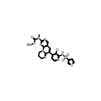 CN(C(=O)OC(C)(C)C)c1ncc2c(n1)N1CCCN=C1C(c1ccnc(NS(=O)(=O)c3ccoc3)c1Cl)=C2